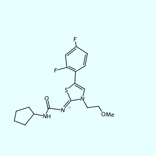 COCCn1cc(-c2ccc(F)cc2F)s/c1=N\C(=O)NC1CCCC1